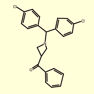 O=C(c1ccccc1)C1CN(C(c2ccc(Cl)cc2)c2ccc(Cl)cc2)C1